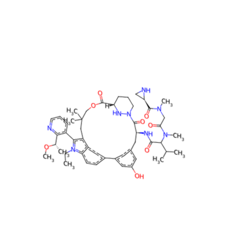 CCn1c(-c2cccnc2[C@H](C)OC)c2c3cc(ccc31)-c1cc(O)cc(c1)C[C@H](NC(=O)C(C(C)C)N(C)C(=O)CN(C)C(=O)[C@H]1CN1)C(=O)N1CCC[C@H](N1)C(=O)OCC(C)(C)C2